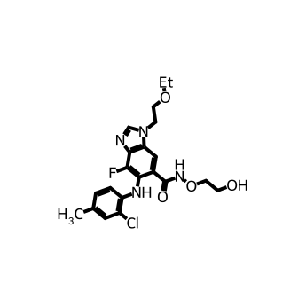 CCOCCn1cnc2c(F)c(Nc3ccc(C)cc3Cl)c(C(=O)NOCCO)cc21